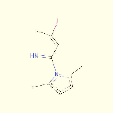 C/C(I)=C\C(=N)n1c(C)ccc1C